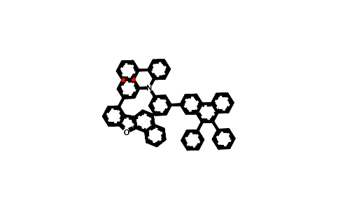 c1ccc(-c2ccccc2N(c2cccc(-c3ccc4c(c3)c(-c3ccccc3)c(-c3ccccc3)c3ccccc34)c2)c2cccc(-c3cccc4oc5c6ccccc6ccc5c34)c2)cc1